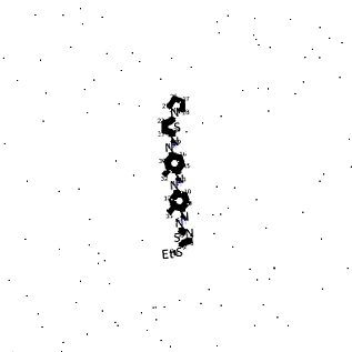 CCSc1cnc(/N=N/c2ccc(/N=N/c3ccc(/N=N/c4ccc(N5CCCC5)s4)cc3C)cc2C)s1